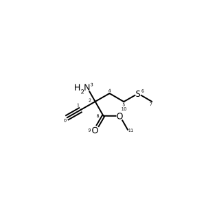 C#CC(N)(CCSC)C(=O)OC